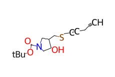 C#CCCCCSCC1CN(C(=O)OC(C)(C)C)CC1O